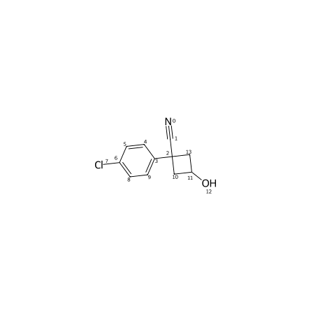 N#CC1(c2ccc(Cl)cc2)CC(O)C1